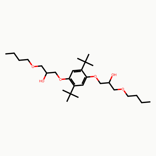 CCCCOCC(O)COc1cc(C(C)(C)C)c(OCC(O)COCCCC)cc1C(C)(C)C